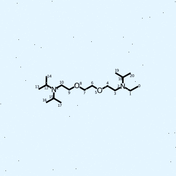 CCN(CCOCCOCCN(C(C)C)C(C)C)C(C)C